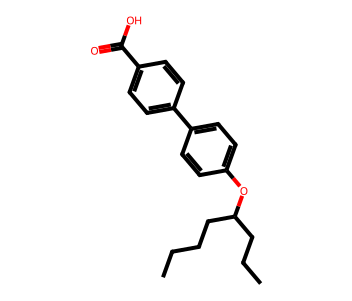 CCCCC(CCC)Oc1ccc(-c2ccc(C(=O)O)cc2)cc1